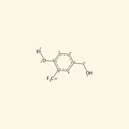 CCOc1ccc(CO)cc1C(F)(F)F